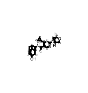 O=C(NC1C2CC3CC1CC(O)(C3)C2)c1cnc(N2C[C@@H]3C[C@H]2CO3)nc1C1CC1